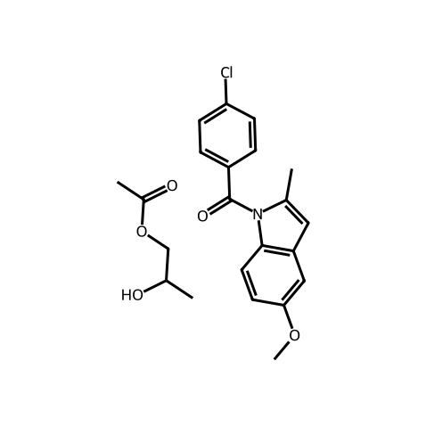 CC(=O)OCC(C)O.COc1ccc2c(c1)cc(C)n2C(=O)c1ccc(Cl)cc1